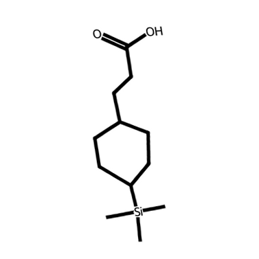 C[Si](C)(C)C1CCC(CCC(=O)O)CC1